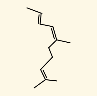 C/[C]=C/C=C(C)CCC=C(C)C